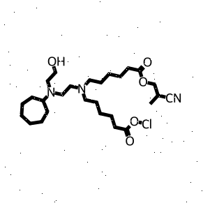 CC(C#N)COC(=O)CCCCCN(CCCCCC(=O)OCl)CCN(CCO)C1CCCCCC1